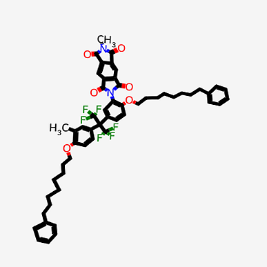 Cc1cc(C(c2ccc(OCCCCCCCCc3ccccc3)c(-n3c(=O)c4cc5c(=O)n(C)c(=O)c5cc4c3=O)c2)(C(F)(F)F)C(F)(F)F)ccc1OCCCCCCCCc1ccccc1